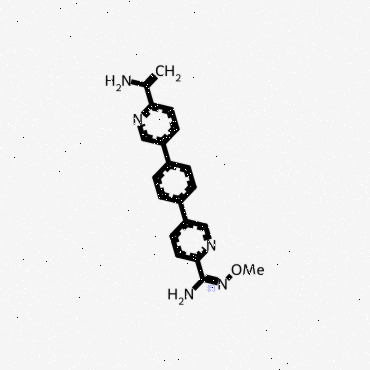 C=C(N)c1ccc(-c2ccc(-c3ccc(/C(N)=N\OC)nc3)cc2)cn1